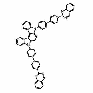 c1ccc2nc(-c3ccc(-c4ccc(-n5c6ccccc6c6c7c8ccccc8n(-c8ccc(-c9ccc(-c%10ncc%11ccccc%11n%10)cc9)cc8)c7ccc65)cc4)cc3)ncc2c1